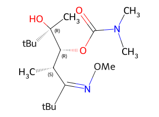 CON=C([C@H](C)[C@@H](OC(=O)N(C)C)[C@](C)(O)C(C)(C)C)C(C)(C)C